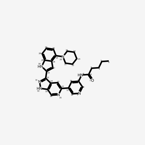 CCCCC(=O)Nc1cncc(-c2cc3c(-c4cc5c(N6CCCCC6)cccc5[nH]4)n[nH]c3cn2)c1